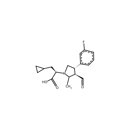 CC1[C@H](C=O)[C@@H](c2cccc(F)c2)CN1[C@H](CC1CC1)C(=O)O